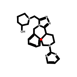 OC1CCCN(Cc2nnc(C3CCN(c4ncccn4)CC3)n2Cc2ccccc2)C1